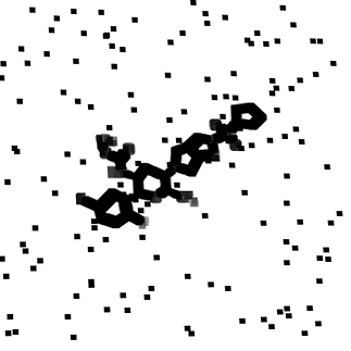 CC(C)(C)OC(=O)N[C@H]1C[C@@H](N2Cc3cn(S(=O)(=O)C4CCCC4)nc3C2)[C@@H](C(F)(F)F)O[C@@H]1c1cc(F)ccc1F